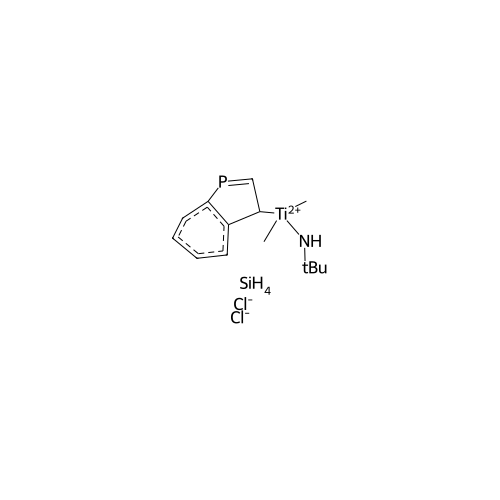 CC(C)(C)[NH][Ti+2]([CH3])([CH3])[CH]1C=Pc2ccccc21.[Cl-].[Cl-].[SiH4]